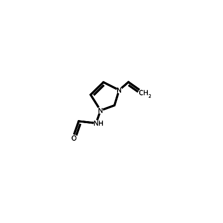 C=CN1C=CN(NC=O)C1